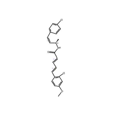 COc1ccc(/C=C/C=C/C(=O)N[C@H](C)/C=C\c2ccc(Cl)cc2)c(Cl)c1